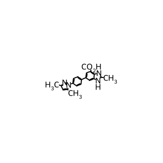 Cc1cc(C)n(-c2ccc(-c3cc(C(=O)O)c4nc(C)[nH]c4c3)cc2)n1